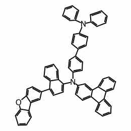 c1ccc(N(c2ccccc2)c2ccc(-c3ccc(N(c4ccc5c6ccccc6c6ccccc6c5c4)c4ccc(-c5ccc6oc7ccccc7c6c5)c5ccccc45)cc3)cc2)cc1